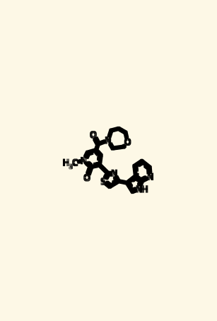 Cn1cc(C(=O)N2CCCOCC2)cc(-c2nc(-c3c[nH]c4ncccc34)cs2)c1=O